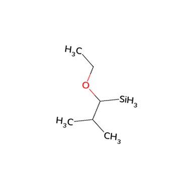 CCOC([SiH3])C(C)C